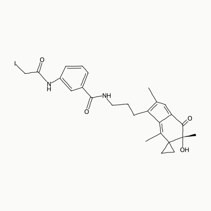 CC1=C(CCCNC(=O)c2cccc(NC(=O)CI)c2)C2=C(C)C3(CC3)[C@@](C)(O)C(=O)C2=C1